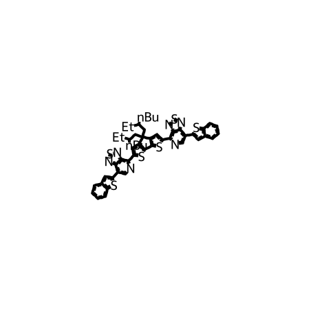 CCCCC(CC)CC1(CC(CC)CCCC)c2cc(-c3ncc(-c4cc5ccccc5s4)c4nsnc34)sc2-c2sc(-c3ncc(-c4cc5ccccc5s4)c4nsnc34)cc21